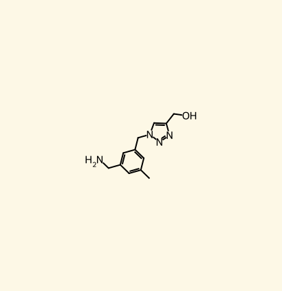 Cc1cc(CN)cc(Cn2cc(CO)nn2)c1